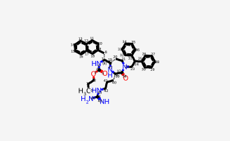 CCCOC(=O)N[C@H](Cc1ccc2ccccc2c1)[C@@H]1CCN(CC(c2ccccc2)c2ccccc2)C(=O)[C@H](CCCNC(=N)N)N1